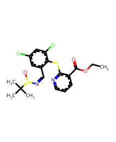 CCOC(=O)c1cccnc1Sc1c(Cl)cc(Cl)cc1/C=N\[S+]([O-])C(C)(C)C